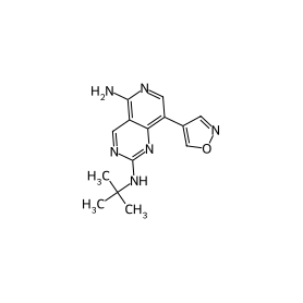 CC(C)(C)Nc1ncc2c(N)ncc(-c3cnoc3)c2n1